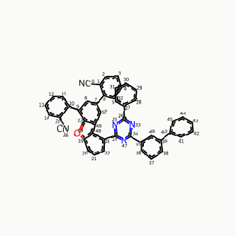 N#Cc1ccccc1-c1cc(-c2ccccc2C#N)c2oc3cccc(-c4nc(-c5ccccc5)nc(-c5cccc(-c6ccccc6)c5)n4)c3c2c1